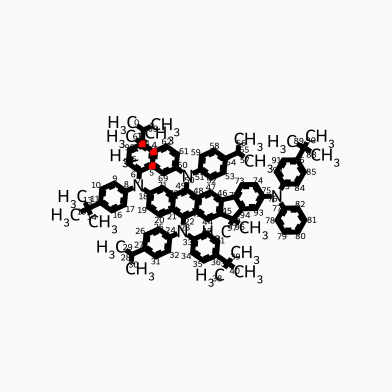 CC(C)c1ccc(N(c2ccc(C(C)(C)C)cc2)c2ccc3c(N(c4ccc(C(C)C)cc4)c4ccc(C(C)(C)C)cc4)c4cc5c(cc4c(N(c4ccc(C(C)C)cc4)c4ccc(C(C)(C)C)cc4)c3c2)-c2ccc(N(c3ccccc3)c3ccc(C(C)(C)C)cc3)cc2C5(C)C)cc1